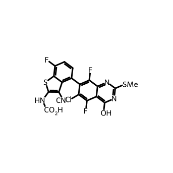 CSc1nc(O)c2c(F)c(Cl)c(-c3ccc(F)c4sc(NC(=O)O)c(C#N)c34)c(F)c2n1